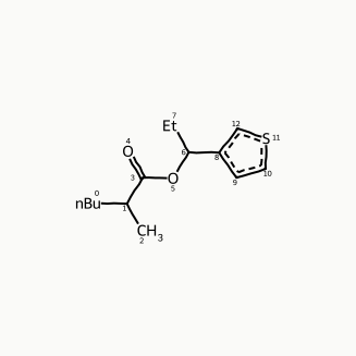 CCCCC(C)C(=O)OC(CC)c1ccsc1